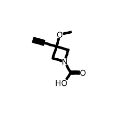 C#CC1(OC)CN(C(=O)O)C1